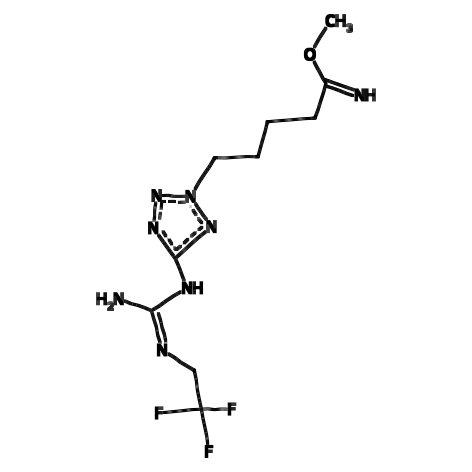 COC(=N)CCCCn1nnc(N/C(N)=N\CC(F)(F)F)n1